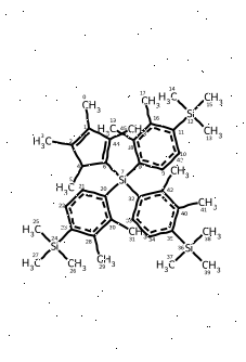 CC1=C(C)C(C)C([Si](c2ccc([Si](C)(C)C)c(C)c2C)(c2ccc([Si](C)(C)C)c(C)c2C)c2ccc([Si](C)(C)C)c(C)c2C)=C1C